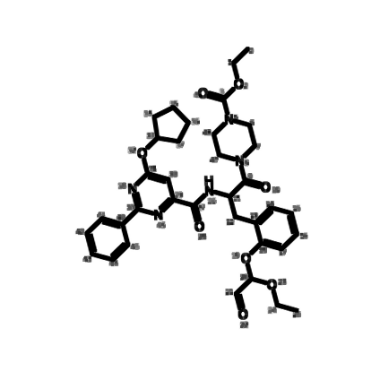 CCOC(=O)N1CCN(C(=O)C(Cc2ccccc2OC(C=O)OCC)NC(=O)c2cc(OC3CCCC3)nc(-c3ccccc3)n2)CC1